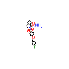 NC(=O)O[C@@H]1c2ccccc2CCN1S(=O)(=O)c1ccc(OCc2ccc(F)cc2)cc1